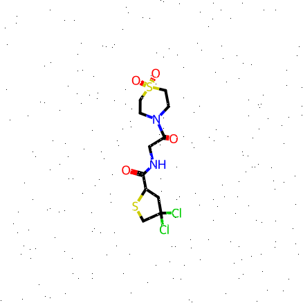 O=C(NCC(=O)N1CCS(=O)(=O)CC1)C1CC(Cl)(Cl)CS1